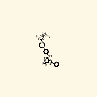 CC(C)(C)OC(=O)N1CCCN(c2ccc(NC(=O)c3nc(-c4ccccc4)oc3C(F)(F)F)cc2)CC1